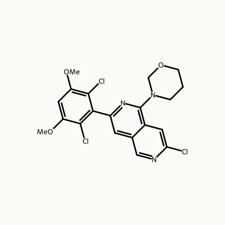 COc1cc(OC)c(Cl)c(-c2cc3cnc(Cl)cc3c(N3CCCOC3)n2)c1Cl